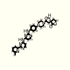 Cc1cccc(-c2nccc(Nc3ccnc(Nc4ccc(N5CCN(C(=O)CC6(S)CCOC6=O)CC5)cc4)n3)n2)n1